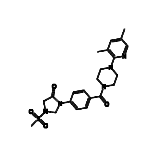 Cc1cnc(N2CCN(C(=O)c3ccc(N4CN(S(C)(=O)=O)CC4=O)cc3)CC2)c(C)c1